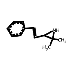 CC1(C)NC1/C=C/c1ccccc1